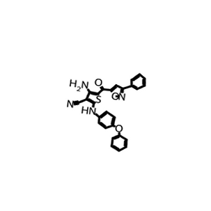 N#Cc1c(Nc2ccc(Oc3ccccc3)cc2)sc(C(=O)c2cc(-c3ccccc3)no2)c1N